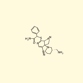 CCC1(N2CCC[C@@H](CN)C2)C(C#N)=CN=C(SC(C(N)=O)c2ccccc2)C1C#N